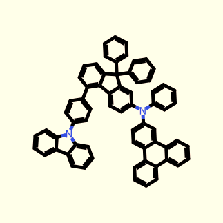 c1ccc(N(c2ccc3c(c2)C(c2ccccc2)(c2ccccc2)c2cccc(-c4ccc(-n5c6ccccc6c6ccccc65)cc4)c2-3)c2ccc3c4ccccc4c4ccccc4c3c2)cc1